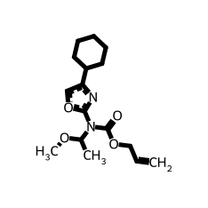 C=CCOC(=O)N(c1nc(C2CCCCC2)co1)C(C)OC